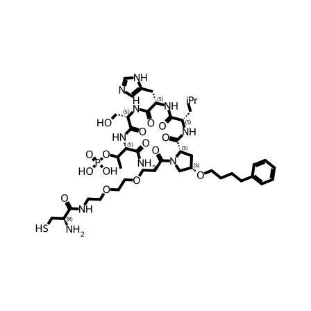 CC(C)C[C@H](NC(=O)[C@@H]1C[C@H](OCCCCc2ccccc2)CN1C(=O)CCOCCOCCNC(=O)[C@@H](N)CS)C(=O)N[C@@H](Cc1cnc[nH]1)C(=O)N[C@@H](CO)C(=O)N[C@H](C(N)=O)C(C)OP(=O)(O)O